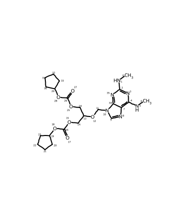 CNc1nc(NC)c2ncn(COC(COC(=O)OC3CCCC3)COC(=O)OC3CCCC3)c2n1